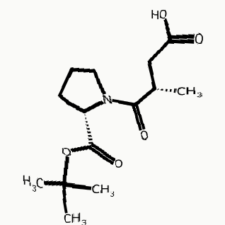 C[C@@H](CC(=O)O)C(=O)N1CCC[C@H]1C(=O)OC(C)(C)C